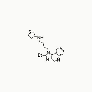 CCc1nc2cnc3ccccc3c2n1CCCCNC1CCSC1